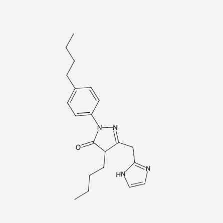 CCCCc1ccc(N2N=C(Cc3ncc[nH]3)C(CCCC)C2=O)cc1